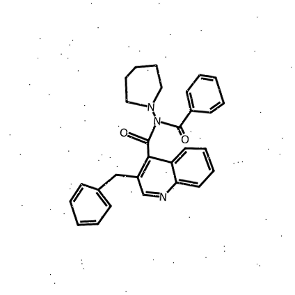 O=C(c1ccccc1)N(C(=O)c1c(Cc2ccccc2)cnc2ccccc12)N1CCCCC1